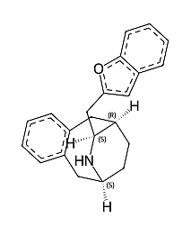 c1ccc2c(c1)C[C@@H]1CC[C@H](C2)[C@H](Cc2cc3ccccc3o2)N1